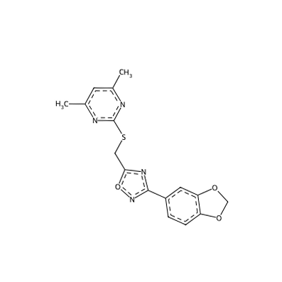 Cc1cc(C)nc(SCc2nc(-c3ccc4c(c3)OCO4)no2)n1